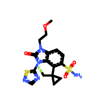 COCCn1c(=O)n(-c2ncns2)c2c(C3(CF)CC3)c(S(N)(=O)=O)ccc21